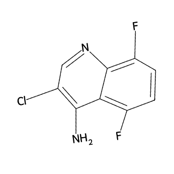 Nc1c(Cl)cnc2c(F)ccc(F)c12